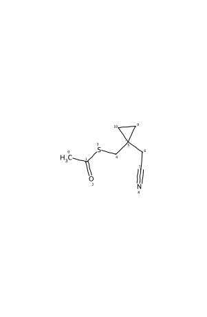 CC(=O)SCC1(CC#N)CC1